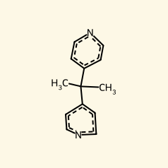 CC(C)(c1ccncc1)c1ccncc1